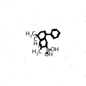 Cc1cc2c(cc1B(O)O)C(c1ccccc1)=CCC2(C)C